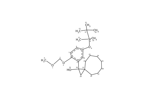 COCOc1ccc(O[Si](C)(C)C(C)(C)C)cc1C1(O)CC12CCCCCCC2